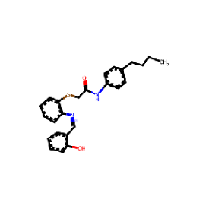 CCCCc1ccc(NC(=O)CSc2ccccc2/N=C\c2ccccc2O)cc1